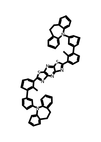 Cc1c(-c2cccc(N3c4ccccc4CCc4ccccc43)c2)cccc1-c1nc2nc3nc(-c4cccc(-c5cccc(N6c7ccccc7CCc7ccccc76)c5)c4C)sc3nc2s1